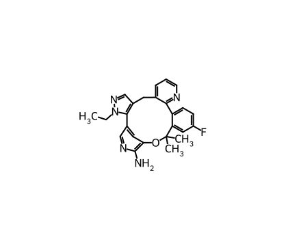 CCn1ncc2c1-c1cnc(N)c(c1)OC(C)(C)c1cc(F)ccc1-c1ncccc1C2